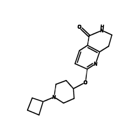 O=C1NCCc2nc(OC3CCN(C4CCC4)CC3)ccc21